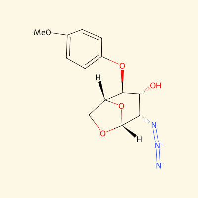 COc1ccc(O[C@H]2[C@H](O)[C@H](N=[N+]=[N-])[C@@H]3OC[C@H]2O3)cc1